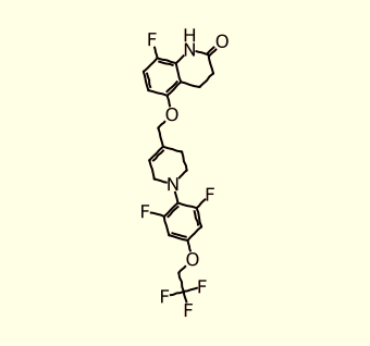 O=C1CCc2c(OCC3=CCN(c4c(F)cc(OCC(F)(F)F)cc4F)CC3)ccc(F)c2N1